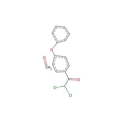 C=O.O=C(c1ccc(Oc2ccccc2)cc1)C(Cl)Cl